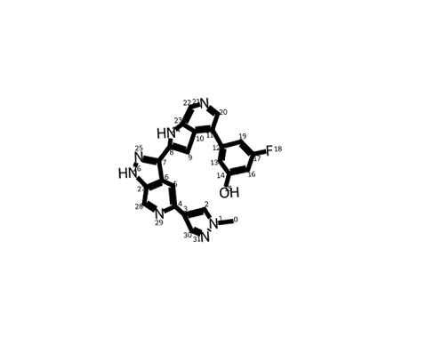 Cn1cc(-c2cc3c(-c4cc5c(-c6cc(O)cc(F)c6)cncc5[nH]4)n[nH]c3cn2)cn1